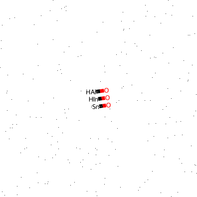 [O]=[AlH].[O]=[InH].[O]=[Sn]